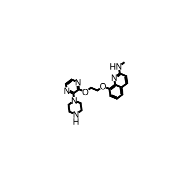 CNc1ccc2cccc(OCCOc3nccnc3N3CCNCC3)c2n1